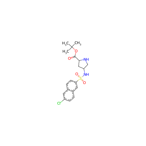 CC(C)(C)OC(=O)C1CC(NS(=O)(=O)c2ccc3cc(Cl)ccc3c2)CN1